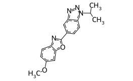 COc1ccc2nc(-c3ccc4c(c3)nnn4C(C)C)oc2c1